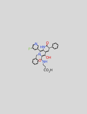 O=C(O)CCNC(=O)C1=C(O)C2=CC(c3ccccc3)C(=O)NC2=C(c2cncc(F)c2)N1Cc1ccccc1